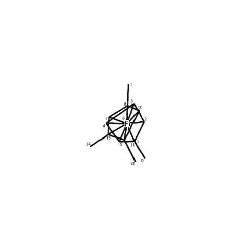 C[C]12[CH]3[CH]4[CH]5[CH]1[Fe]45321678[CH]2[C]1(C)[CH]6[C]7(C)[C]28C